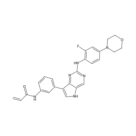 C=CC(=O)Nc1cccc(-c2c[nH]c3cnc(Nc4ccc(N5CCOCC5)cc4F)nc23)c1